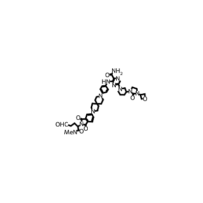 CNC(=O)C(CCC=O)N1C(=O)c2ccc(N3CCC4(CCN(c5ccc(Nc6nc(N7CCCC(N8CCN(C9COC9)C8=O)C7)cnc6C(N)=O)cc5)CC4)CC3)cc2C1=O